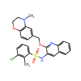 Cc1c(Cl)cccc1S(=O)(=O)Nc1cc2ccccc2nc1OCc1ccc2c(c1)N(C)CCO2